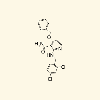 NC(=O)c1c(OCc2ccccc2)ccnc1NCc1ccc(Cl)cc1Cl